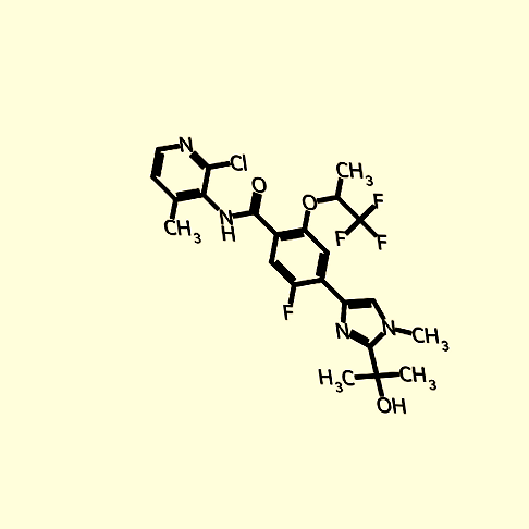 Cc1ccnc(Cl)c1NC(=O)c1cc(F)c(-c2cn(C)c(C(C)(C)O)n2)cc1OC(C)C(F)(F)F